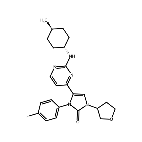 C[C@H]1CC[C@H](Nc2nccc(-c3cn(C4CCOC4)c(=O)n3-c3ccc(F)cc3)n2)CC1